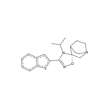 CC(C)N1C(c2cc3ccccc3s2)=NO[C@]12CN1CCC2CC1